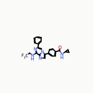 O=C(NC1CC1)c1ccc(-c2cnc3c(NCC(F)(F)F)nc(-c4ccccc4)cn23)cc1